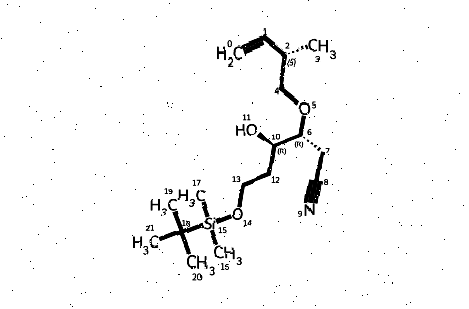 C=C[C@H](C)CO[C@H](CC#N)[C@H](O)CCO[Si](C)(C)C(C)(C)C